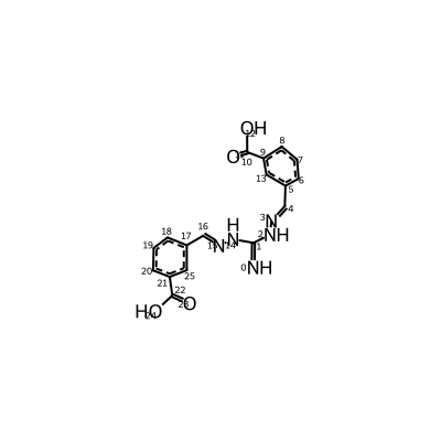 N=C(N/N=C/c1cccc(C(=O)O)c1)N/N=C/c1cccc(C(=O)O)c1